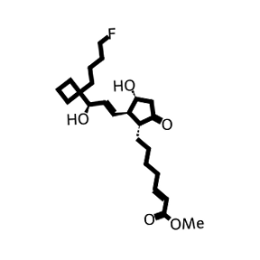 COC(=O)/C=C/CCCC[C@H]1C(=O)C[C@@H](O)[C@@H]1/C=C/[C@@H](O)C1(CCCCF)CCC1